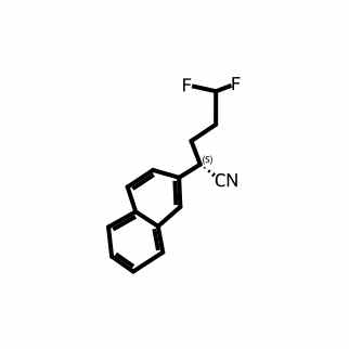 N#C[C@@H](CCC(F)F)c1ccc2ccccc2c1